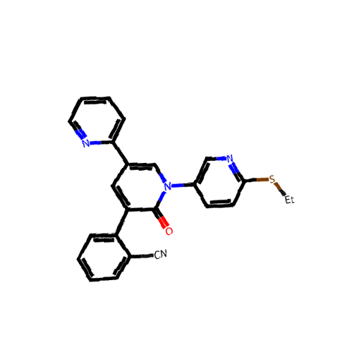 CCSc1ccc(-n2cc(-c3ccccn3)cc(-c3ccccc3C#N)c2=O)cn1